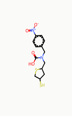 O=C(O)N(Cc1ccc([N+](=O)[O-])cc1)CC1CC(S)CS1